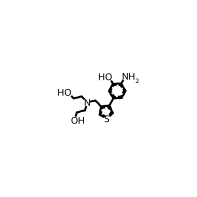 Nc1ccc(-c2cscc2CN(CCO)CCO)cc1O